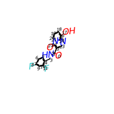 O=C(NCc1ccc(F)cc1F)c1cnc2c(O)cccn2c1=O